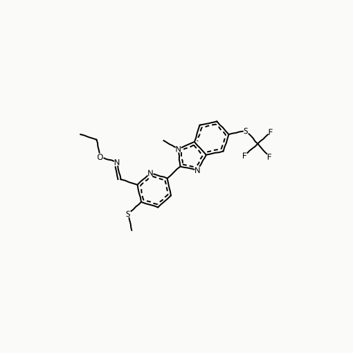 CCON=Cc1nc(-c2nc3cc(SC(F)(F)F)ccc3n2C)ccc1SC